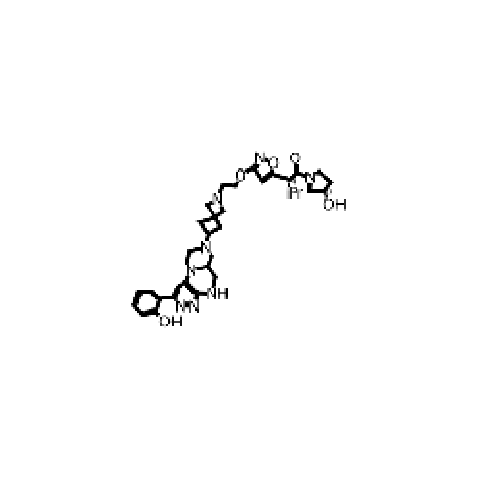 CC(C)[C@@H](C(=O)N1CC[C@@H](O)C1)c1cc(OCCN2CC3(CC(N4CCN5c6cc(-c7ccccc7O)nnc6NCC5C4)C3)C2)no1